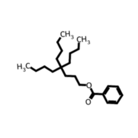 CCCCC(CCCC)(CCCC)CCCOC(=O)c1ccccc1